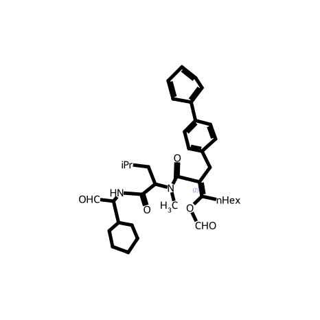 CCCCCC/C(OC=O)=C(\Cc1ccc(-c2ccccc2)cc1)C(=O)N(C)C(CC(C)C)C(=O)NC(C=O)C1CCCCC1